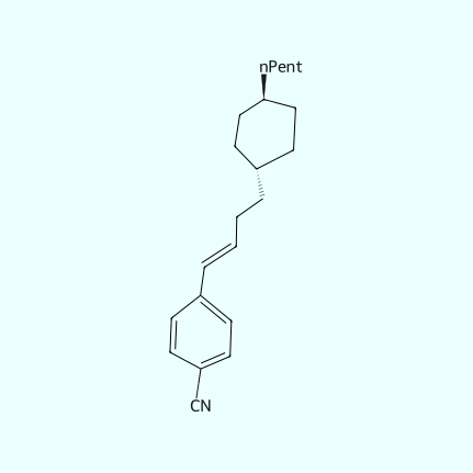 CCCCC[C@H]1CC[C@H](CCC=Cc2ccc(C#N)cc2)CC1